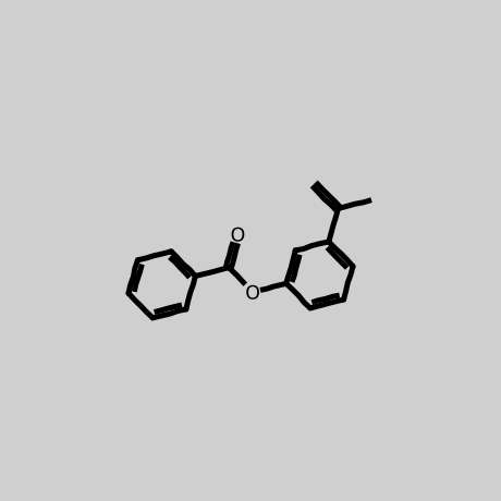 C=C(C)c1cccc(OC(=O)c2ccccc2)c1